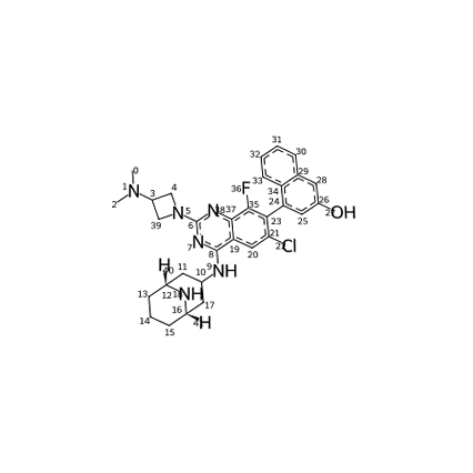 CN(C)C1CN(c2nc(NC3C[C@H]4CCC[C@@H](C3)N4)c3cc(Cl)c(-c4cc(O)cc5ccccc45)c(F)c3n2)C1